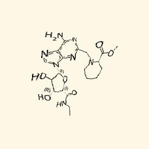 CCNC(=O)[C@H]1O[C@@H](n2cnc3c(N)nc(CN4CCCCC4C(=O)OC)nc32)C(O)[C@H]1O